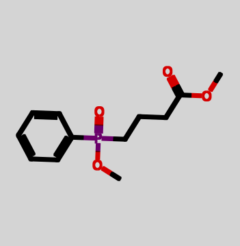 COC(=O)CCCP(=O)(OC)c1ccccc1